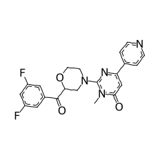 Cn1c(N2CCOC(C(=O)c3cc(F)cc(F)c3)C2)nc(-c2ccncc2)cc1=O